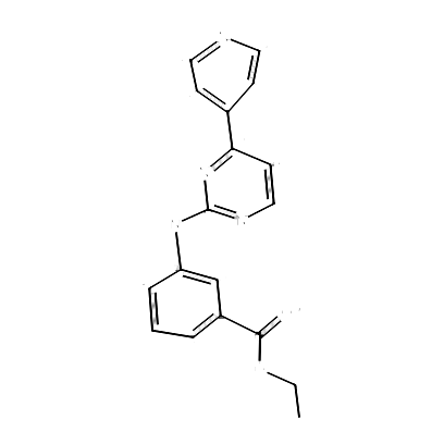 CCOC(=O)c1cccc(Nc2nccc(-c3ccncc3)n2)c1